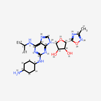 CCC(CC)Nc1nc(NC2CCC(N)CC2)nc2c1ncn2[C@@H]1O[C@H](c2nc(C)no2)[C@@H](O)[C@H]1O